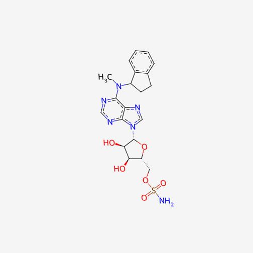 CN(c1ncnc2c1ncn2[C@@H]1O[C@H](COS(N)(=O)=O)[C@@H](O)[C@H]1O)C1CCc2ccccc21